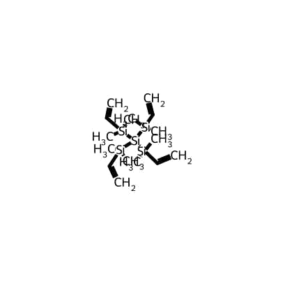 C=C[Si](C)(C)[Si]([Si](C)(C)C=C)([Si](C)(C)C=C)[Si](C)(C)C=C